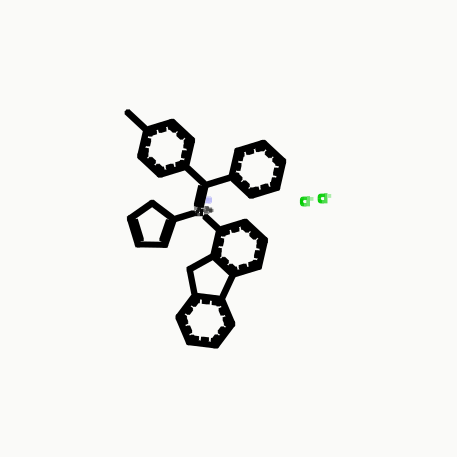 Cc1ccc(/[C](c2ccccc2)=[Zr+2](\[C]2=CC=CC2)[c]2cccc3c2Cc2ccccc2-3)cc1.[Cl-].[Cl-]